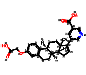 C[C@]12CC[C@@H]3c4ccc(OCC(=O)O)cc4CC[C@H]3[C@@H]1CC=C2c1cncc(C(=O)O)c1